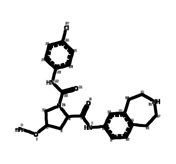 CCCOC1CC(C(=O)Nc2ccc3c(c2)CCNCC3)N(C(=O)Nc2ccc(Cl)cc2)C1